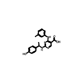 Cc1cccc(Nc2nc(NC(C)c3ccc(O)cc3)ncc2C(=O)O)c1